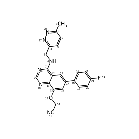 Cc1ccc(CNc2ncnc3c(OCC#N)cc(-c4ccc(F)cc4)cc23)nn1